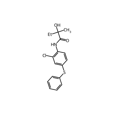 CCC(C)(O)C(=O)Nc1ccc(Sc2ccccc2)cc1Cl